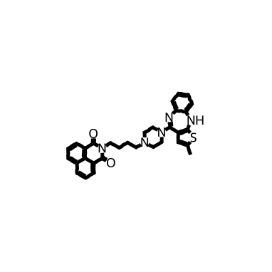 Cc1cc2c(s1)Nc1ccccc1N=C2N1CCN(CCCCN2C(=O)c3cccc4cccc(c34)C2=O)CC1